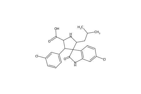 CC(C)CC1NC(C(=O)O)C(c2cccc(Cl)c2)C12C(=O)Nc1cc(Cl)ccc12